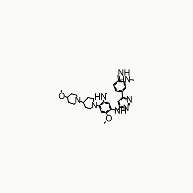 CNc1cc(-c2cc(Nc3cc(NC)c(N4CCC(N5CCC(OC)CC5)CC4)cc3OC)ncn2)ccc1C=N